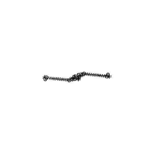 C=C(C)C(=O)OCCCCCCCCCCCCCCCCCCCCOc1ccc(C(=O)Oc2cc(F)c(OC(=O)c3ccc(OCCCCCCCCCCCCCCCCCCCCOC(=O)C(=C)C)cc3)cc2F)cc1